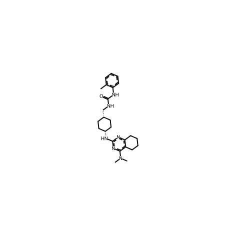 Cc1ccccc1NC(=O)NC[C@H]1CC[C@@H](Nc2nc3c(c(N(C)C)n2)CCCC3)CC1